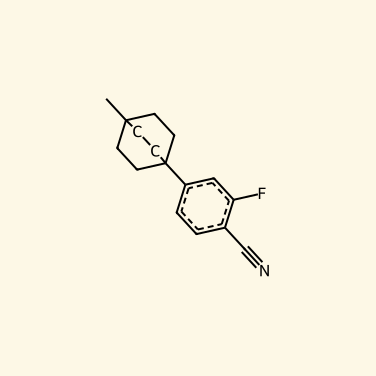 CC12CCC(c3ccc(C#N)c(F)c3)(CC1)CC2